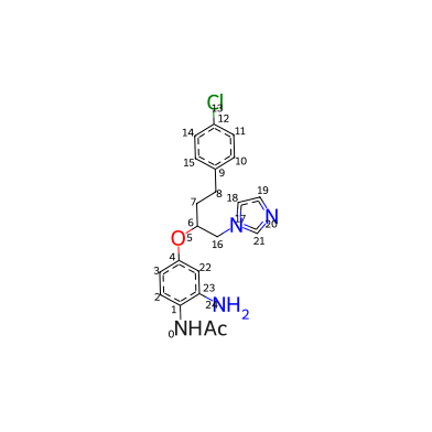 CC(=O)Nc1ccc(OC(CCc2ccc(Cl)cc2)Cn2ccnc2)cc1N